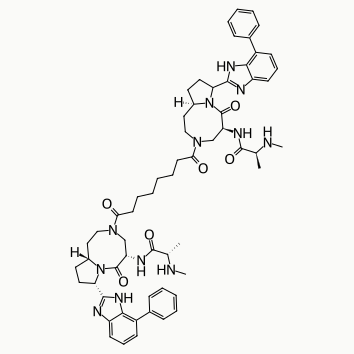 CN[C@@H](C)C(=O)N[C@H]1CN(C(=O)CCCCCCC(=O)N2CC[C@H]3CC[C@@H](c4nc5cccc(-c6ccccc6)c5[nH]4)N3C(=O)[C@@H](NC(=O)[C@H](C)NC)C2)CC[C@H]2CCC(c3nc4cccc(-c5ccccc5)c4[nH]3)N2C1=O